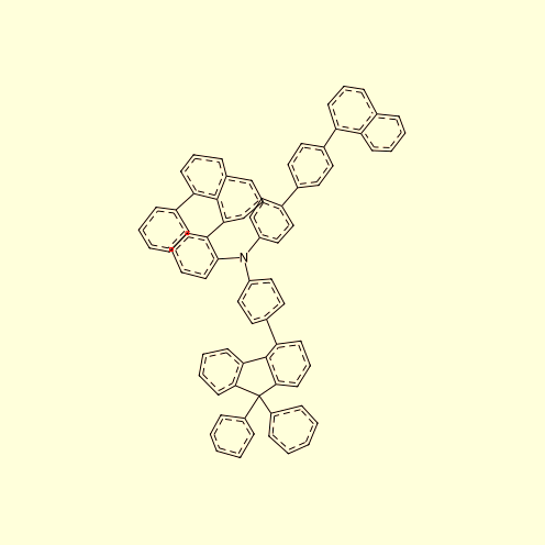 c1ccc(-c2cccc3cccc(-c4ccccc4N(c4ccc(-c5ccc(-c6cccc7ccccc67)cc5)cc4)c4ccc(-c5cccc6c5-c5ccccc5C6(c5ccccc5)c5ccccc5)cc4)c23)cc1